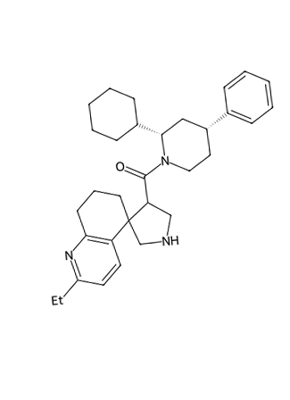 CCc1ccc2c(n1)CCCC21CNCC1C(=O)N1CC[C@@H](c2ccccc2)C[C@H]1C1CCCCC1